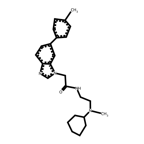 Cc1ccc(-c2ccc3ncn(CC(=O)NCCN(C)C4CCCCC4)c3c2)cc1